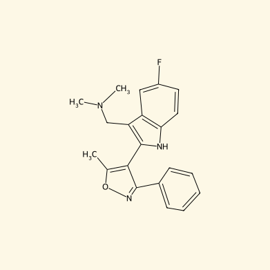 Cc1onc(-c2ccccc2)c1-c1[nH]c2ccc(F)cc2c1CN(C)C